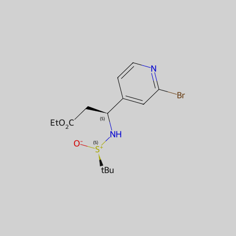 CCOC(=O)C[C@H](N[S@+]([O-])C(C)(C)C)c1ccnc(Br)c1